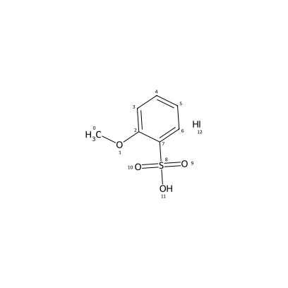 COc1ccccc1S(=O)(=O)O.I